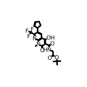 Cn1c(=O)c(C(=O)NCC(=O)OC(C)(C)C)c(O)c2cc(C3C=CCC3)c(C(F)(F)F)nc21